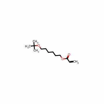 C=CC(=O)OCCCCCCOC(C)(C)C